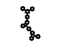 C1=CC2C(C=C1c1ccc(-c3nc(-c4ccccc4)cc(-c4ccccc4)n3)cc1)c1ccccc1N2c1ccc(-c2ccc3c(c2)c2ccccc2n3-c2ccccc2)cc1